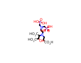 O=C(O)CCN(CCN(CP(=O)(O)O)CP(=O)(O)O)C(C(=O)O)C(O)C(=O)O